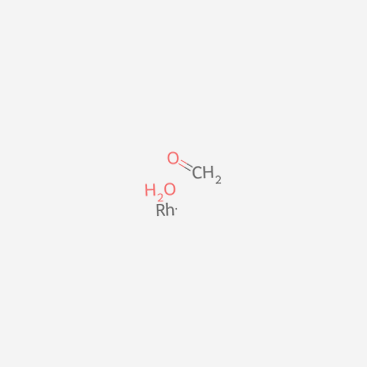 C=O.O.[Rh]